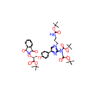 CC(C)(C)OC(=O)NCCCn1cc(-c2ccc(OC[C@H](ON3C(=O)c4ccccc4C3=O)C(=O)OC(C)(C)C)cc2)nc1N(C(=O)OC(C)(C)C)C(=O)OC(C)(C)C